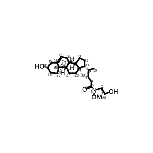 CON(CCO)C(=O)CCC(C)[C@H]1CC[C@H]2[C@@H]3CC=C4C[C@@H](O)CC[C@]4(C)[C@H]3CC[C@]12C